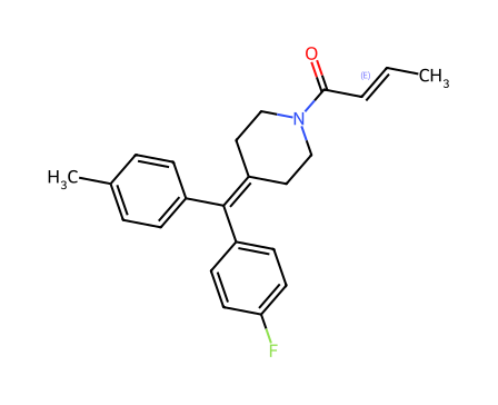 C/C=C/C(=O)N1CCC(=C(c2ccc(C)cc2)c2ccc(F)cc2)CC1